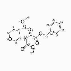 COC(=O)[C@H]1CCOC[C@H]1N(CC(=O)OCc1ccccc1)C(=O)OC